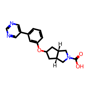 O=C(O)N1C[C@H]2CC(Oc3cccc(-c4cncnc4)c3)C[C@H]2C1